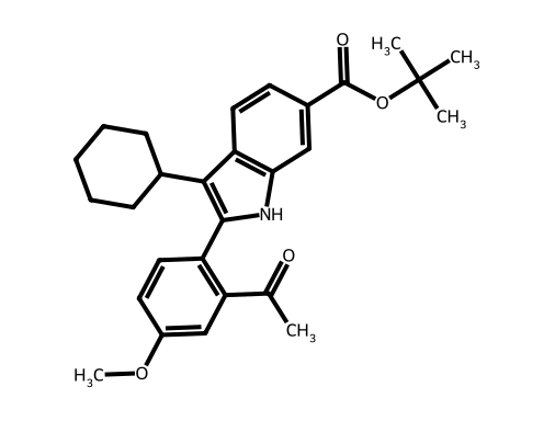 COc1ccc(-c2[nH]c3cc(C(=O)OC(C)(C)C)ccc3c2C2CCCCC2)c(C(C)=O)c1